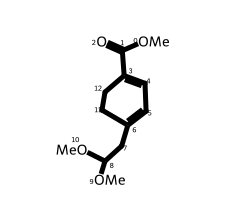 COC(=O)C1=CC=C(CC(OC)OC)CC1